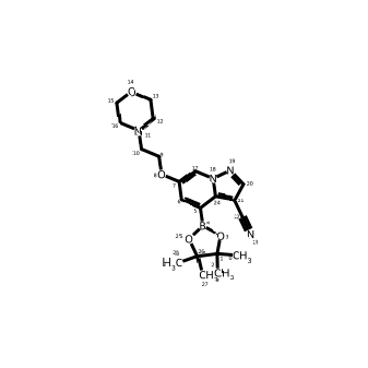 CC1(C)OB(c2cc(OCCN3CCOCC3)cn3ncc(C#N)c23)OC1(C)C